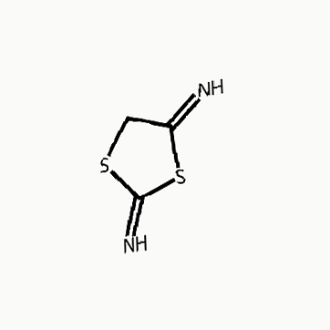 N=C1CSC(=N)S1